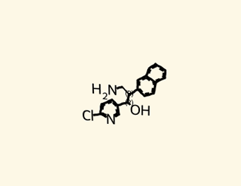 NC[C@@H](c1ccc2ccccc2c1)[C@@H](O)c1ccc(Cl)nc1